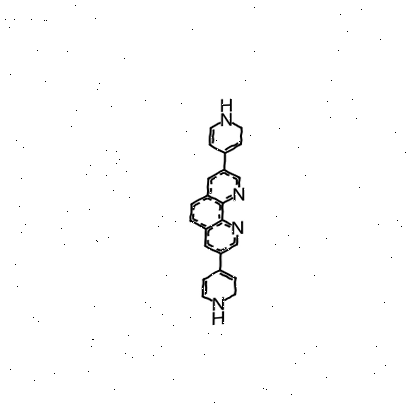 C1=CC(c2cnc3c(ccc4cc(C5=CCNC=C5)cnc43)c2)=CCN1